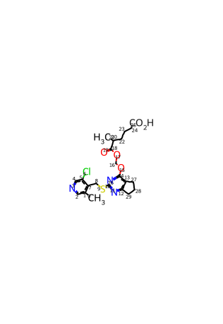 Cc1cncc(Cl)c1CSc1nc2c(c(OCOC(=O)C(C)CCCC(=O)O)n1)CCC2